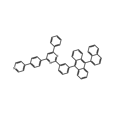 c1ccc(-c2cc(-c3ccc(-c4ccncc4)cc3)nc(-c3cccc(-c4c5ccccc5c(-c5cccc6ccccc56)c5ccccc45)c3)n2)cc1